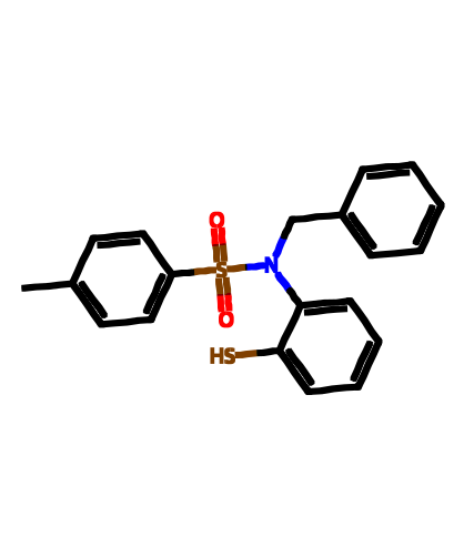 Cc1ccc(S(=O)(=O)N(Cc2ccccc2)c2ccccc2S)cc1